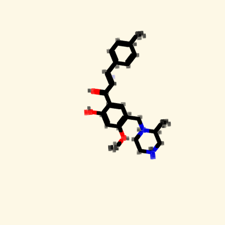 COc1cc(O)c(C(=O)/C=C/c2ccc(C)cc2)cc1CN1CCNCC1C